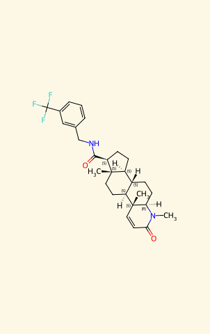 CN1C(=O)C=C[C@]2(C)[C@H]3CC[C@]4(C)[C@@H](C(=O)NCc5cccc(C(F)(F)F)c5)CC[C@H]4[C@@H]3CC[C@@H]12